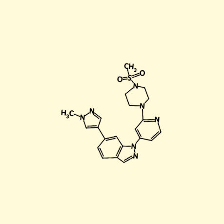 Cn1cc(-c2ccc3cnn(-c4ccnc(N5CCN(S(C)(=O)=O)CC5)c4)c3c2)cn1